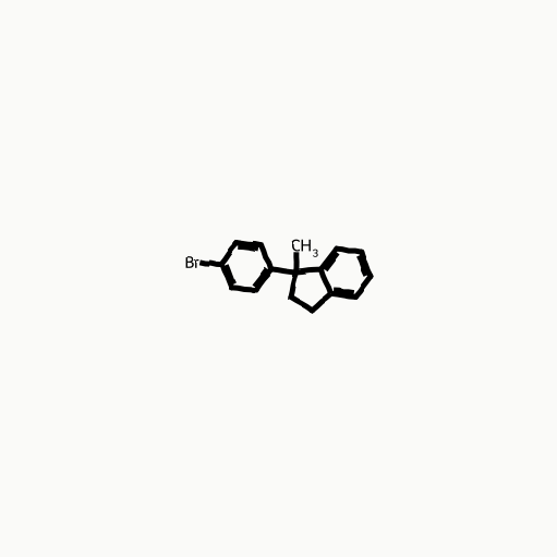 CC1(c2ccc(Br)cc2)CCc2ccccc21